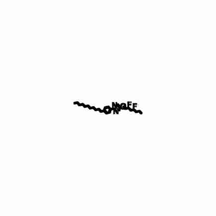 CCCCCCCCCCCc1ccc(-c2ncc(OCC(F)CC(F)CCC)cn2)cc1